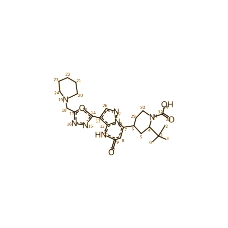 CC(C)(C)C1CC(c2cc(=O)[nH]c3c(-c4nnc(CN5CCCCC5)o4)cnn23)CCN1C(=O)O